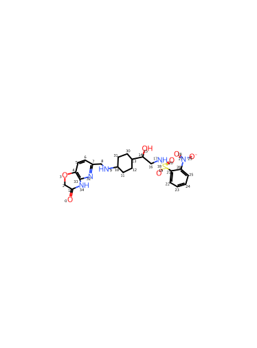 O=C1COc2ccc(CNC3CCC(C(O)CNS(=O)(=O)c4ccccc4[N+](=O)[O-])CC3)nc2N1